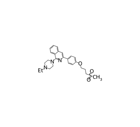 CCN1CCN(c2nc(-c3ccc(OCCCS(C)(=O)=O)cc3)cc3ccccc23)CC1